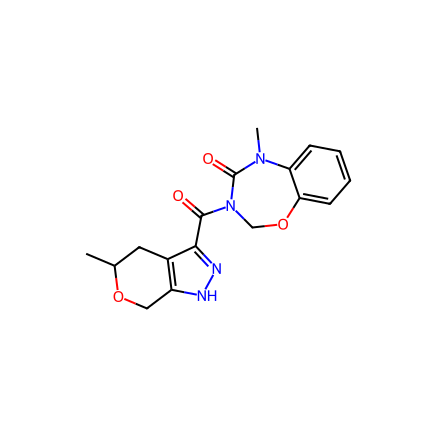 CC1Cc2c(C(=O)N3COc4ccccc4N(C)C3=O)n[nH]c2CO1